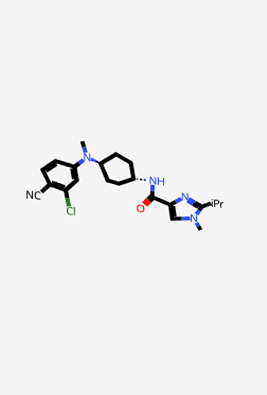 CC(C)c1nc(C(=O)N[C@H]2CC[C@H](N(C)c3ccc(C#N)c(Cl)c3)CC2)cn1C